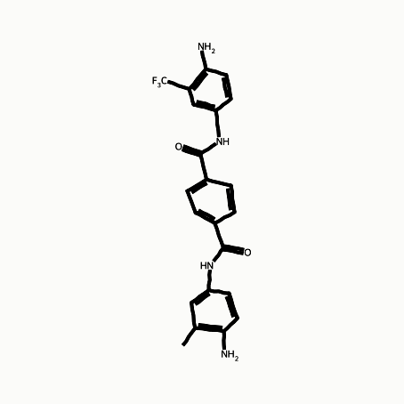 Cc1cc(NC(=O)c2ccc(C(=O)Nc3ccc(N)c(C(F)(F)F)c3)cc2)ccc1N